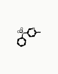 Cc1ccc(S2(c3ccccc3)OO2)cn1